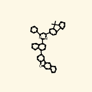 CC1(C)c2ccccc2-c2ccc(-c3cc(-c4ccccc4)nc(-c4ccc(-c5ccc6oc7cc8ccccc8cc7c6c5)c5ccccc45)n3)cc21